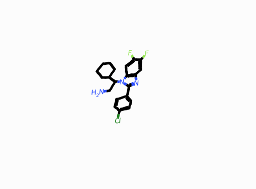 NCC(C1CCCCC1)n1c(-c2ccc(Cl)cc2)nc2cc(F)c(F)cc21